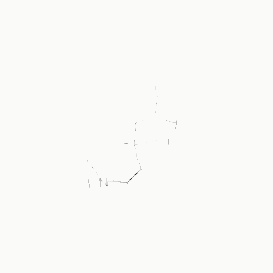 OC1(CC(F)F)CCNCC1